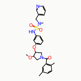 COC1CN(C(=O)c2cc(C)ccc2C)CC1Oc1cccc(NS(=O)(=O)N(C)Cc2cccnc2)c1